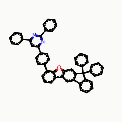 c1ccc(-c2cc(-c3ccc(-c4cccc5c4oc4cc6c(cc45)-c4ccccc4C6(c4ccccc4)c4ccccc4)cc3)nc(-c3ccccc3)n2)cc1